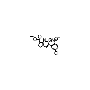 CCOC(=O)C1CCc2cc(-c3cc(Cl)ccc3[N+](=O)[O-])cnc21